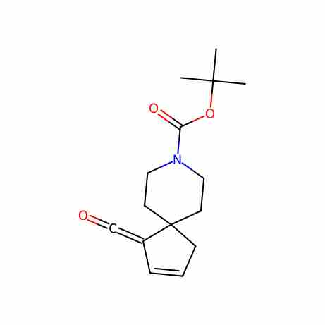 CC(C)(C)OC(=O)N1CCC2(CC=CC2=C=O)CC1